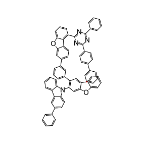 c1ccc(-c2ccc(-c3nc(-c4ccccc4)nc(-c4cccc5oc6cc(-c7cccc(-c8cc9c(cc8-n8c%10ccccc%10c%10cc(-c%11ccccc%11)ccc%108)oc8ccccc89)c7)ccc6c45)n3)cc2)cc1